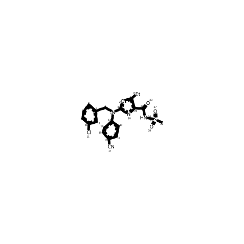 CCc1oc(N(Cc2cccc(Cl)c2)c2ccc(C#N)cc2)nc1C(=O)NS(C)(=O)=O